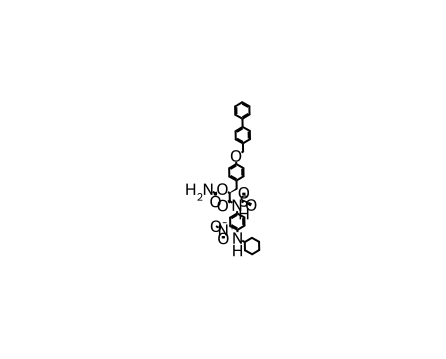 NC(=O)O[C@@H](Cc1ccc(OCc2ccc(-c3ccccc3)cc2)cc1)C(=O)N(c1ccc(NC2CCCCC2)c([N+](=O)[O-])c1)[SH](=O)=O